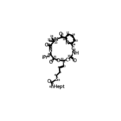 CCCCCCCC(=O)SCCC=C[C@@H]1CC(=O)NCc2cccc(n2)C(=O)NC(C)(C)C(=O)N[C@@H](C(C)C)C(=O)O1